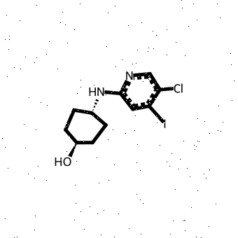 O[C@H]1CC[C@H](Nc2cc(I)c(Cl)cn2)CC1